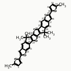 Cc1ccc(-c2cc3cc4c(cc3s2)-c2sc3c5c(sc3c2C4(C)C)-c2cc3sc(-c4ccc(C)s4)cc3cc2C5(C)C)s1